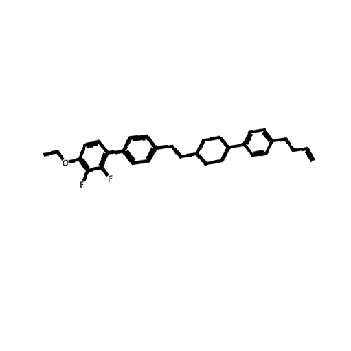 C=CCCc1ccc(C2CCC(CCc3ccc(-c4ccc(OCC)c(F)c4F)cc3)CC2)cc1